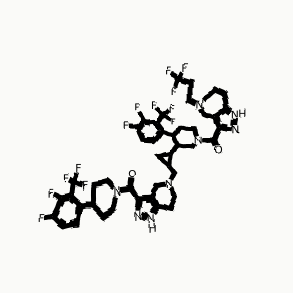 O=C(c1n[nH]c2c1CN(CC1CC1C1CN(C(=O)c3n[nH]c4c3CN(CCC(F)(F)F)CC4)CCC1c1ccc(F)c(F)c1C(F)(F)F)CC2)N1CCC(c2ccc(F)c(F)c2C(F)(F)F)CC1